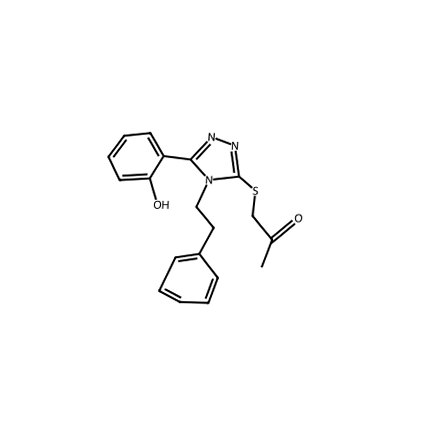 CC(=O)CSc1nnc(-c2ccccc2O)n1CCc1ccccc1